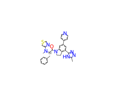 Cc1nnc(-c2cc(-c3ccncc3)cc3c2CCN3C(=O)[C@H](Cc2ccccc2)N(C)c2cscn2)[nH]1